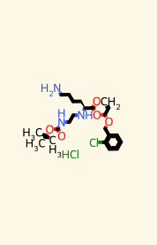 C=CC(OCc1ccccc1Cl)OC(=O)[C@H](CCCCN)NCCNC(=O)OC(C)(C)C.Cl